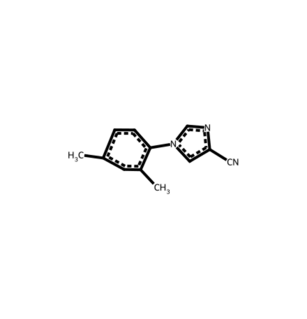 Cc1ccc(-n2cnc(C#N)c2)c(C)c1